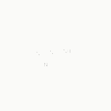 c1ccc(C2(Nc3nc(N4CCCCC4)nc4ccccc34)CC2)cc1